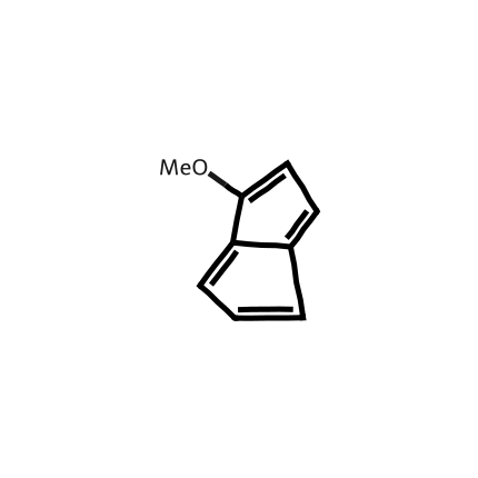 COC1=CC=C2C=CC=C21